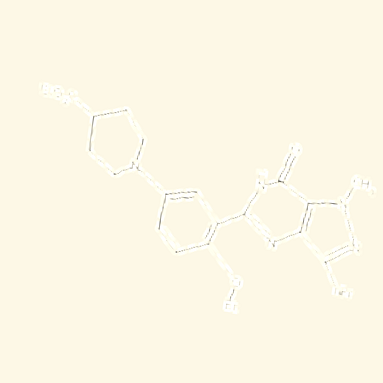 CCCc1nn(C)c2c(=O)[nH]c(-c3cc(N4CCC(C(=O)OCC)CC4)ccc3OCC)nc12